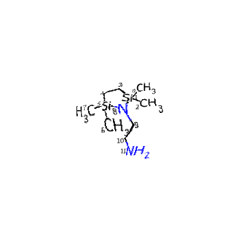 C[Si]1(C)CC[Si](C)(C)N1CCN